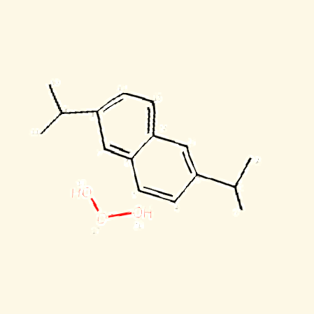 CC(C)c1ccc2cc(C(C)C)ccc2c1.OOO